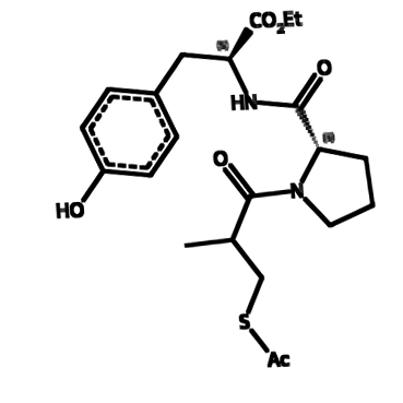 CCOC(=O)[C@H](Cc1ccc(O)cc1)NC(=O)[C@@H]1CCCN1C(=O)C(C)CSC(C)=O